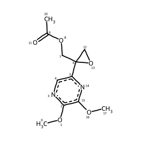 COc1ncc(C2(COC(C)=O)CO2)nc1OC